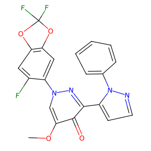 COc1cn(-c2cc3c(cc2F)OC(F)(F)O3)nc(-c2ccnn2-c2ccccc2)c1=O